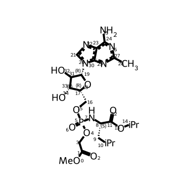 COC(=O)COP(=O)(N[C@@H](CC(C)C)C(=O)OC(C)C)OC[C@H]1O[C@@H](n2cnc3c(N)nc(C)nc32)C(O)[C@H]1O